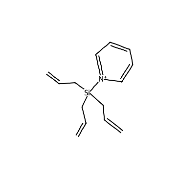 C=CC[Si](CC=C)(CC=C)[n+]1ccccc1